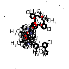 Cn1nccc1-c1cc(Cl)ccc1Oc1ccc(S(=O)(=O)/N=c2\sccn2C(OP(=O)(OC(n2ccs/c2=N\S(=O)(=O)c2ccc(Oc3ccc(Cl)cc3-c3ccnn3C)c(C#N)c2)(C(C)(C)C)C(C)(C)C)OC(n2ccs/c2=N\S(=O)(=O)c2ccc(Oc3ccc(Cl)cc3-c3ccnn3C)c(C#N)c2)(C(C)(C)C)C(C)(C)C)(C(C)(C)C)C(C)(C)C)cc1C#N